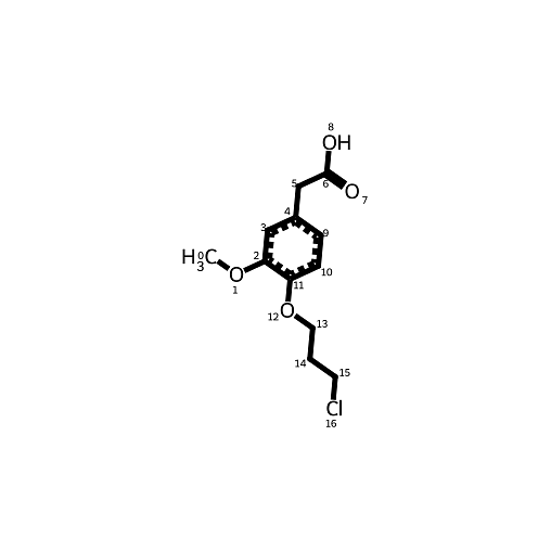 COc1cc(CC(=O)O)ccc1OCCCCl